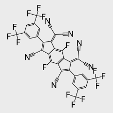 N#CC(C#N)=C1C(c2cc(C(F)(F)F)cc(C(F)(F)F)c2)=C(C#N)c2c(F)c3c(c(F)c21)C(=C(C#N)C#N)C(c1cc(C(F)(F)F)cc(C(F)(F)F)c1)=C3C#N